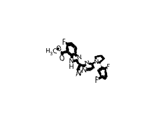 COC(=O)c1c(F)ccc2nc(-c3cnn4ccc(N5CCC[C@@H]5c5cc(F)ccc5F)nc34)[nH]c12